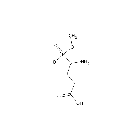 COP(=O)(O)C(N)CCC(=O)O